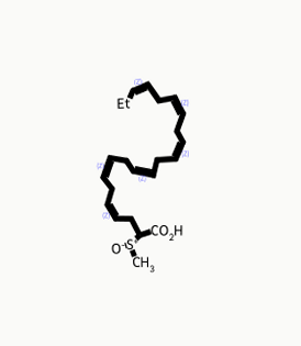 CC/C=C\C/C=C\C/C=C\C/C=C\C/C=C\C/C=C\CC(C(=O)O)[S+](C)[O-]